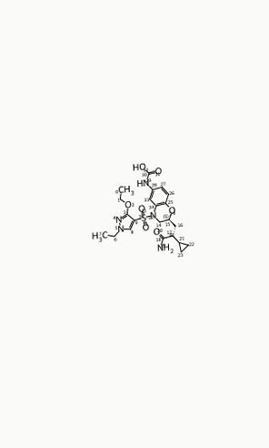 CCOc1nn(CC)cc1S(=O)(=O)N1C[C@H](C[C@@H](C(N)=O)C2CC2)Oc2ccc(NC(=O)O)cc21